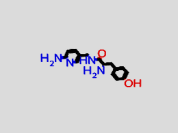 Nc1ccc(CNC(=O)[C@@H](N)Cc2ccc(O)cc2)cn1